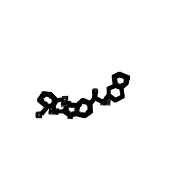 O=C(NC1CCc2ccccc2C1)c1ccc2nc(Nc3c(Cl)cccc3Cl)[nH]c2c1